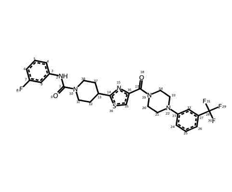 O=C(Nc1cccc(F)c1)N1CCC(c2nc(C(=O)N3CCN(c4cccc(C(F)(F)F)c4)CC3)cs2)CC1